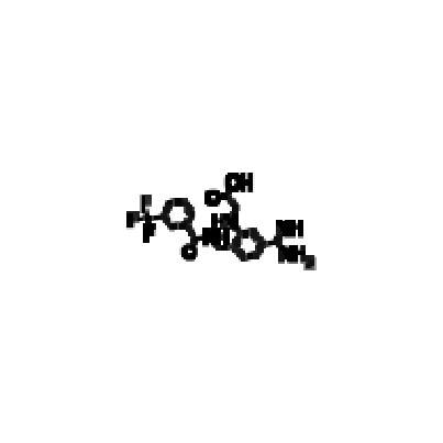 N=C(N)c1ccc(CNC(=O)c2cccc(C(F)(F)F)c2)c(NCC(=O)O)c1